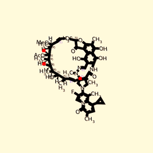 CO[C@H]1/C=C/O[C@@]2(C)Oc3c(C)c(O)c4c(O)c(c(/C=N/N(C)C5CCN(c6c(F)cn7c(=O)c(C)cc(C8CC8)c7c6C)C5)c(O)c4c3C2=O)NC(=O)/C(C)=C\C=C\[C@H](C)[C@H](O)[C@@H](C)[C@@H](O)[C@@H](C)[C@H](OC(C)=O)[C@@H]1C